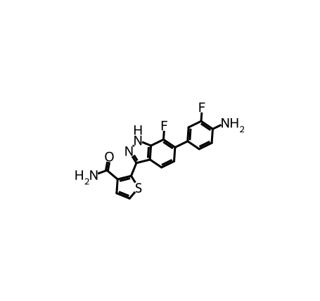 NC(=O)c1ccsc1-c1n[nH]c2c(F)c(-c3ccc(N)c(F)c3)ccc12